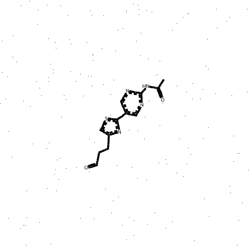 CC(=O)Nc1ncc(-c2nc(CCC=O)cs2)cn1